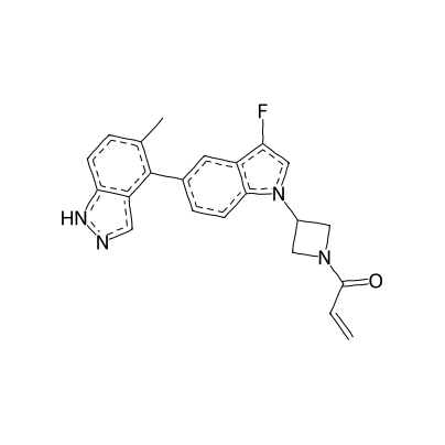 C=CC(=O)N1CC(n2cc(F)c3cc(-c4c(C)ccc5[nH]ncc45)ccc32)C1